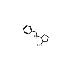 OC1CCCC1NCc1ccccc1